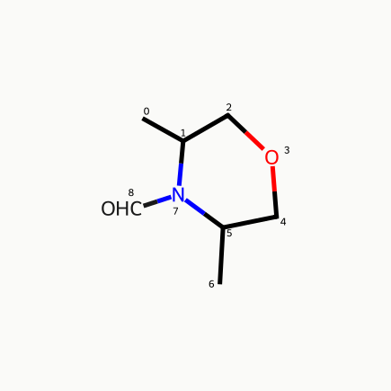 CC1COCC(C)N1C=O